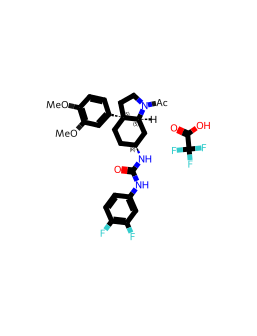 COc1ccc([C@@]23CC[C@@H](NC(=O)Nc4ccc(F)c(F)c4)C[C@@H]2N(C(C)=O)CC3)cc1OC.O=C(O)C(F)(F)F